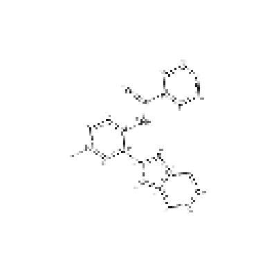 Cc1ccc(NC(=O)c2ccccc2)c(-c2nc3ccccc3s2)c1